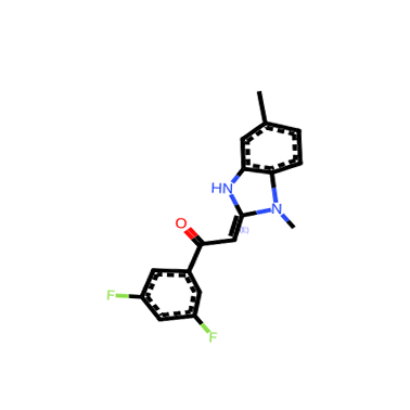 Cc1ccc2c(c1)N/C(=C\C(=O)c1cc(F)cc(F)c1)N2C